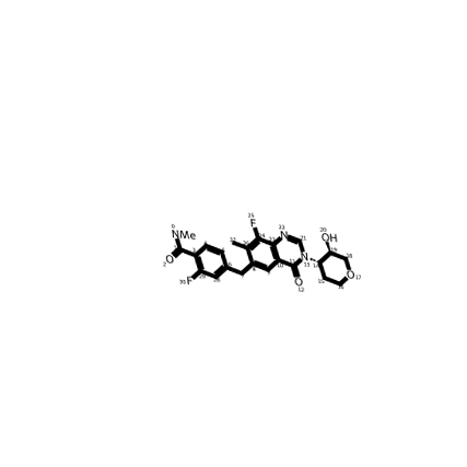 CNC(=O)c1ccc(Cc2cc3c(=O)n([C@H]4CCOC[C@@H]4O)cnc3c(F)c2C)cc1F